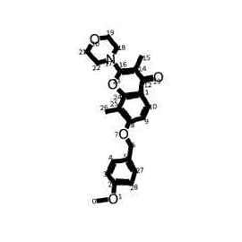 COc1ccc(COc2ccc3c(=O)c(C)c(N4CCOCC4)oc3c2C)cc1